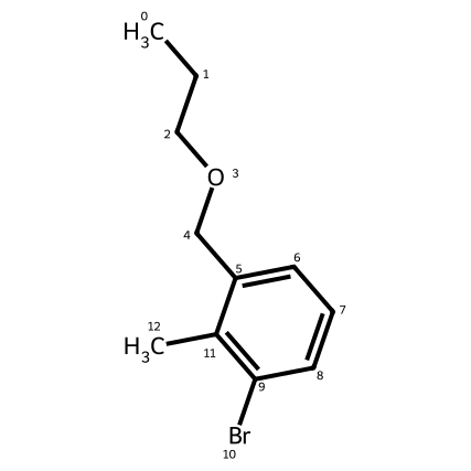 CCCOCc1cccc(Br)c1C